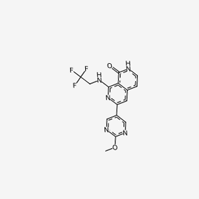 COc1ncc(-c2cc3cc[nH]c(=O)c3c(NCC(F)(F)F)n2)cn1